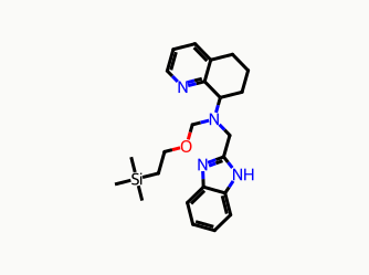 C[Si](C)(C)CCOCN(Cc1nc2ccccc2[nH]1)C1CCCc2cccnc21